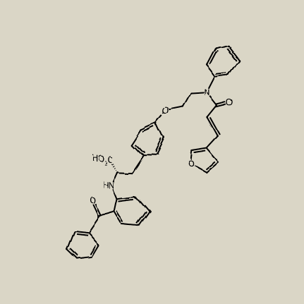 O=C(c1ccccc1)c1ccccc1N[C@@H](Cc1ccc(OCCN(C(=O)/C=C/c2ccoc2)c2ccccc2)cc1)C(=O)O